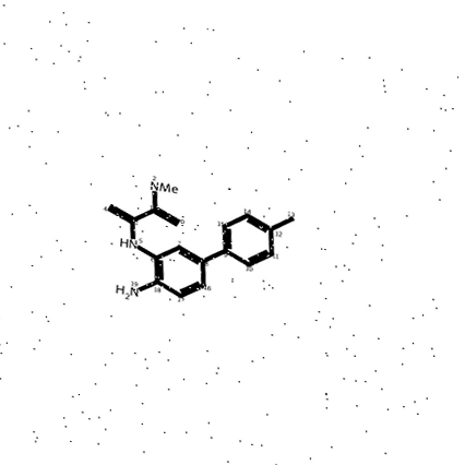 C=C(NC)C(=C)Nc1cc(-c2ccc(C)cc2)ccc1N